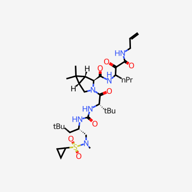 C=CCNC(=O)C(=O)C(CCC)NC(=O)[C@@H]1[C@@H]2[C@H](CN1C(=O)[C@@H](NC(=O)N[C@H](CN(C)S(=O)(=O)C1CC1)CC(C)(C)C)C(C)(C)C)C2(C)C